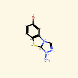 NN1N=CN2c3cc(Br)ccc3SC12